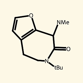 CNC1C(=O)N(C(C)(C)C)CCc2ccoc21